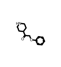 O=C(COc1ccccc1)C1CCNCC1